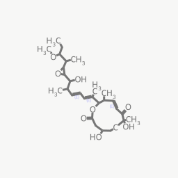 CCC(OC)C(C)C1OC1C(O)C(C)/C=C/C=C(\C)C1OC(=O)CC(O)CCC(C)(O)C(=O)/C=C/C1C